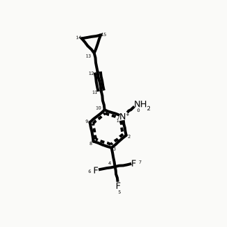 N[n+]1cc(C(F)(F)F)ccc1C#CC1CC1